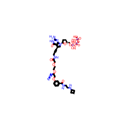 [N-]=[N+]=NC(COc1cccc(C(=O)NCCNC2CCC2)c1)OCCOCC(=O)NCC#Cc1cn([C@H]2CC[C@@H](COP(=O)(O)OP(=O)(O)OP(=O)(O)O)O2)c2nc(N)[nH]c(=O)c12